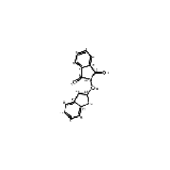 O=C1c2ccccc2C(=O)N1OC1Cc2ccccc2C1